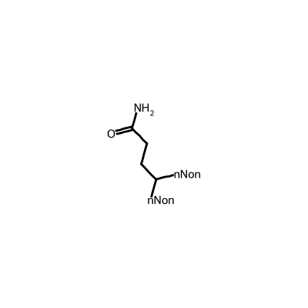 CCCCCCCCCC(CCCCCCCCC)CCC(N)=O